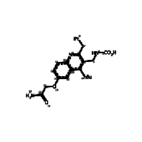 CCCCc1c(CNC(=O)O)c(CC(C)C)nc2ccc(OCC(N)=O)cc12